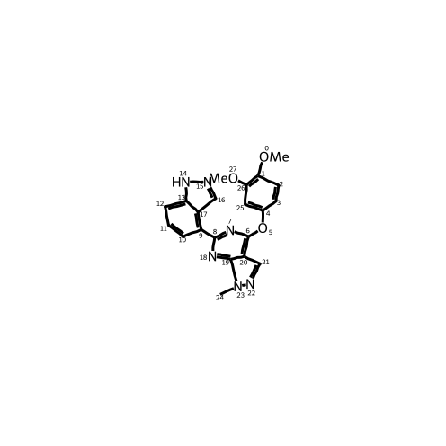 COc1ccc(Oc2nc(-c3cccc4[nH]ncc34)nc3c2cnn3C)cc1OC